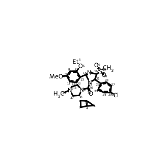 C1CC2CC12.CCOc1cc(OC)ccc1C1=NC(S(C)(=O)=O)C(c2ccc(Cl)cc2)N1C(=O)N1CCN(C)CC1